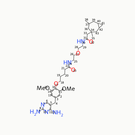 COc1cc(Cc2cnc(N)nc2N)cc(OC)c1OCCCCC(=O)NCCOCCNC(=O)CC1(C)CC(C)CC2CC2C1